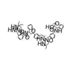 CCC1(CC)CC(=O)N(Cc2cccc(C(=O)NC3CC(c4cccc(CCC[C@H](c5cccc(C(=O)NC6c7ccccc7OC(C)(C)C6O)c5)N5C(=N)NC(CC)(CC)CC5=O)c4)Oc4ccccc43)c2)C(=N)N1